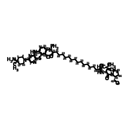 CC1(N)CCN(c2cnc3c(n2)Nc2ccc(N(P)C(=O)CCCCCCCCCCCCCCC(=O)N[C@@H](C(=O)N4CCC[C@@H]4C=O)S(C)(C)C)c(Cl)c2S3)CC1